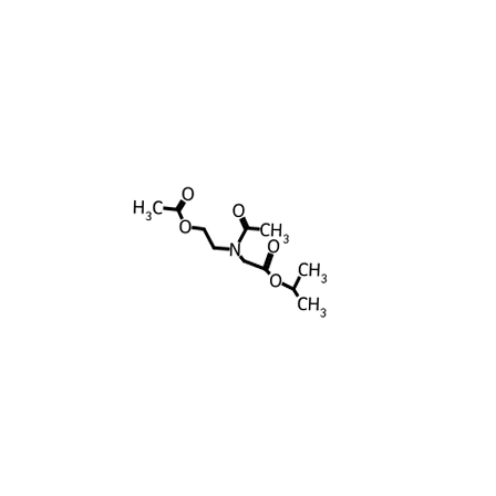 CC(=O)OCCN(CC(=O)OC(C)C)C(C)=O